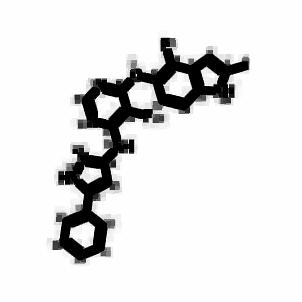 Cc1cc2c(F)c(Oc3ncnc(Nc4cc(-c5ccccc5)[nH]n4)c3F)ccc2[nH]1